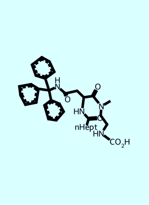 CCCCCCCC(=O)NC(CC(=O)NC(c1ccccc1)(c1ccccc1)c1ccccc1)C(=O)N(C)CCNC(=O)O